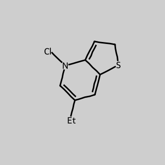 CCC1=CN(Cl)C2=CCSC2=C1